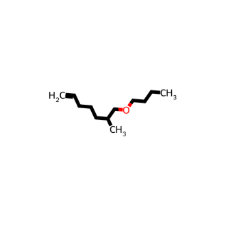 C=CCCCC(C)COCCCC